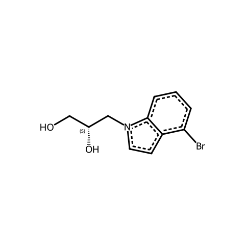 OC[C@@H](O)Cn1ccc2c(Br)cccc21